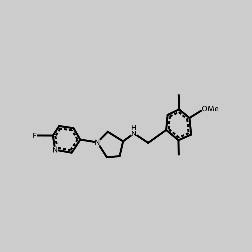 COc1cc(C)c(CNC2CCN(c3ccc(F)nc3)C2)cc1C